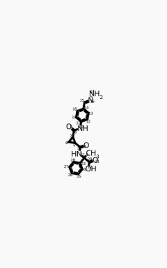 CC(NC(=O)C1CC1C(=O)Nc1ccc(C=NN)cc1)(C(=O)O)c1ccccc1